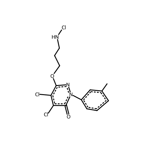 Cc1cccc(-n2nc(OCCCNCl)c(Cl)c(Cl)c2=O)c1